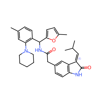 Cc1ccc(C(NC(=O)Cc2ccc3c(c2)/C(=C\C(C)C)C(=O)N3)c2ccc(C)o2)c(N2CCCCC2)c1